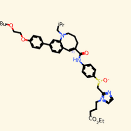 CCCCOCCOc1ccc(-c2ccc3c(c2)N(CC(C)C)CCC/C(C(=O)Nc2ccc([S+]([O-])Cc4nccn4CCCC(=O)OCC)cc2)=C\3)cc1